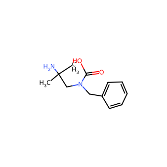 CC(C)(N)CN(Cc1ccccc1)C(=O)O